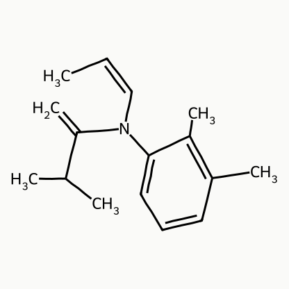 C=C(C(C)C)N(/C=C\C)c1cccc(C)c1C